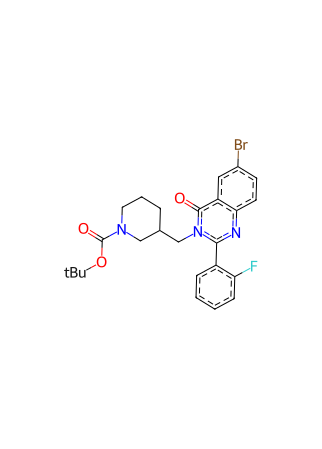 CC(C)(C)OC(=O)N1CCCC(Cn2c(-c3ccccc3F)nc3ccc(Br)cc3c2=O)C1